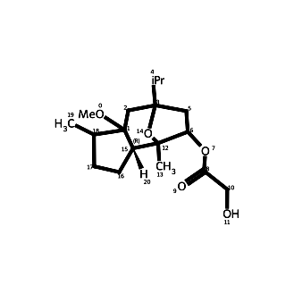 COC12CC3(C(C)C)CC(OC(=O)CO)C(C)(O3)[C@@H]1CCC2C